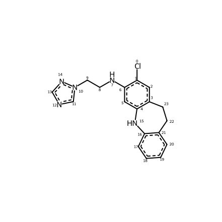 Clc1cc2c(cc1NCCn1cncn1)Nc1ccccc1CC2